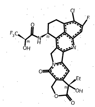 CC[C@@]1(O)C(=O)OCc2c1cc1n(c2=O)Cc2c-1nc1cc(F)c(Cl)c3c1c2[C@@H](NC(=O)[C@@H](O)C(F)(F)F)CC3